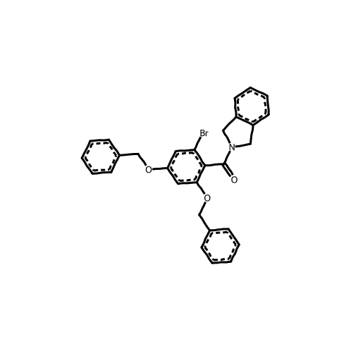 O=C(c1c(Br)cc(OCc2ccccc2)cc1OCc1ccccc1)N1Cc2ccccc2C1